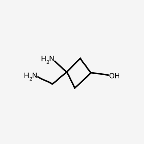 NCC1(N)CC(O)C1